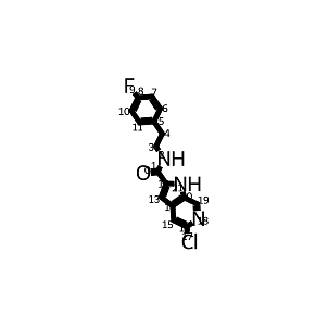 O=C(NCCc1ccc(F)cc1)c1cc2cc(Cl)ncc2[nH]1